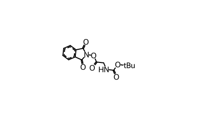 CC(C)(C)OC(=O)NCC(=O)ON1C(=O)c2ccccc2C1=O